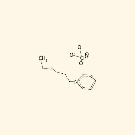 CCCCCC[n+]1ccccc1.[O-][Cl+3]([O-])([O-])[O-]